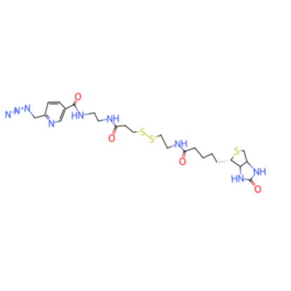 [N-]=[N+]=NCc1ccc(C(=O)NCCNC(=O)CCSSCCNC(=O)CCCC[C@@H]2SCC3NC(=O)NC32)cn1